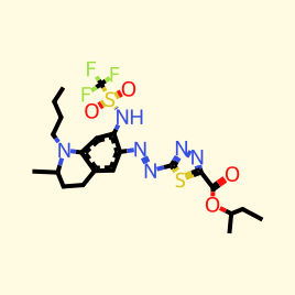 CCCCN1c2cc(NS(=O)(=O)C(F)(F)F)c(N=Nc3nnc(C(=O)OC(C)CC)s3)cc2CCC1C